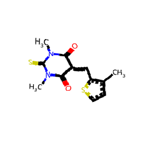 Cc1ccsc1C=C1C(=O)N(C)C(=S)N(C)C1=O